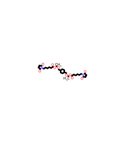 CC(OCC1CCC(COC(C)OC(=O)CCCCCN2C(=O)C=CC2=O)CC1)OC(=O)CCCCCN1C(=O)C=CC1=O